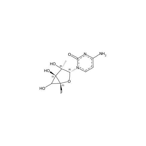 C[C@]1(O)[C@H](n2ccc(N)nc2=O)O[C@]2(F)C(O)[C@]12O